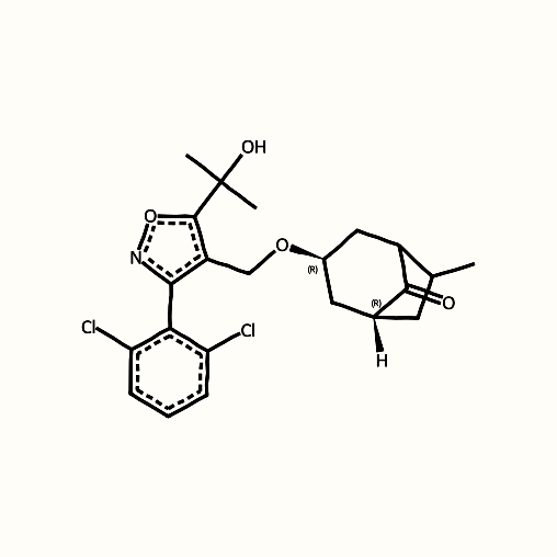 CC1C[C@@H]2C[C@@H](OCc3c(-c4c(Cl)cccc4Cl)noc3C(C)(C)O)CC1C2=O